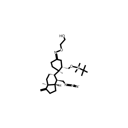 C=C1CC[C@H]2[C@H](CN=[N+]=[N-])[C@@H]([C@@]3(C)CCC(=NOCCO)C[C@@H]3CO[Si](C)(C)C(C)(C)C)CC[C@]12C